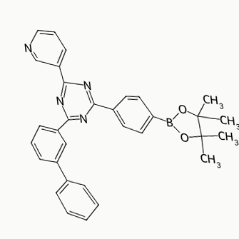 CC1(C)OB(c2ccc(-c3nc(-c4cccnc4)nc(-c4cccc(-c5ccccc5)c4)n3)cc2)OC1(C)C